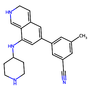 Cc1cc(C#N)cc(-c2cc(NC3CCNCC3)c3c(c2)=CCNC=3)c1